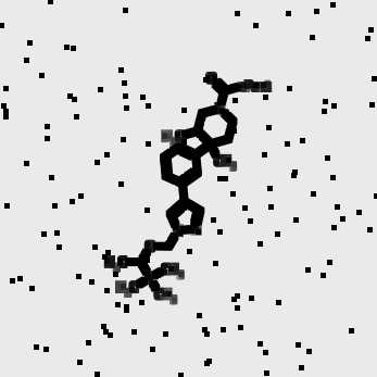 CCCCCC(=O)N1CCC(C)(c2cccc(-c3cnn(COC(C)[Si](C)(C)C)c3)c2)C(C)C1